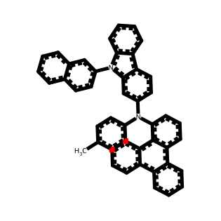 Cc1ccc(N(c2ccc3c4ccccc4n(-c4ccc5ccccc5c4)c3c2)c2cccc3c4ccccc4c4ccccc4c23)cc1